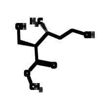 COC(=O)[C@@H](CO)[C@H](C)CCO